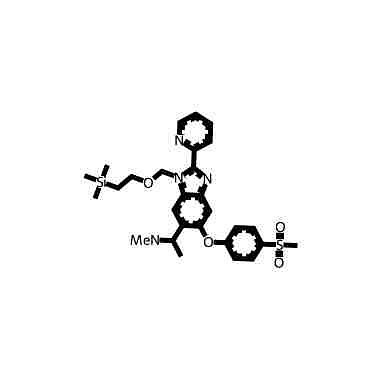 CNC(C)c1cc2c(cc1Oc1ccc(S(C)(=O)=O)cc1)nc(-c1ccccn1)n2COCC[Si](C)(C)C